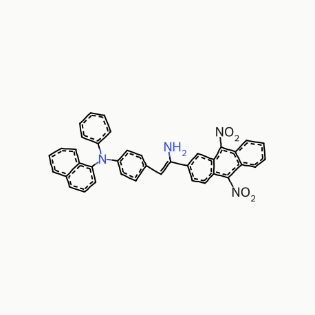 N/C(=C\c1ccc(N(c2ccccc2)c2cccc3ccccc23)cc1)c1ccc2c([N+](=O)[O-])c3ccccc3c([N+](=O)[O-])c2c1